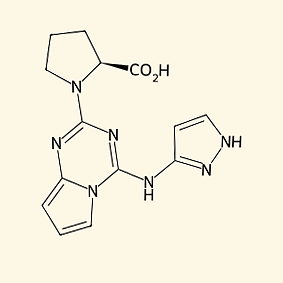 O=C(O)[C@@H]1CCCN1c1nc(Nc2cc[nH]n2)n2cccc2n1